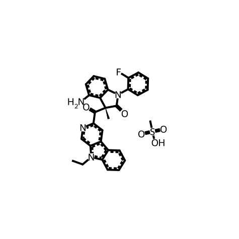 CCn1c2ccccc2c2cc(C(=O)[C@@]3(C)C(=O)N(c4ccccc4F)c4cccc(N)c43)ncc21.CS(=O)(=O)O